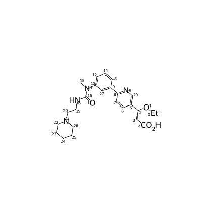 CCO[C@@H](CC(=O)O)c1ccc(-c2cccc(N(C)C(=O)NCCN3CCCCC3)c2)nc1